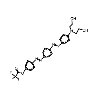 O=C(Oc1ccc(N=Nc2ccc(N=Nc3ccc(N(CCO)CCO)cc3)cc2)cc1)C(F)(F)F